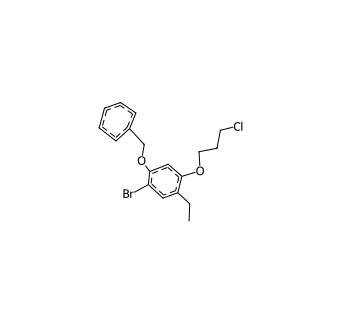 CCc1cc(Br)c(OCc2ccccc2)cc1OCCCCl